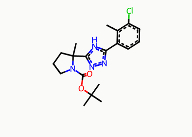 Cc1c(Cl)cccc1-c1nnc(C2(C)CCCN2C(=O)OC(C)(C)C)[nH]1